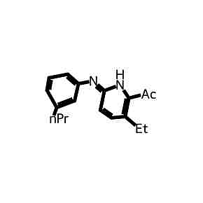 CCCc1cccc(N=c2ccc(CC)c(C(C)=O)[nH]2)c1